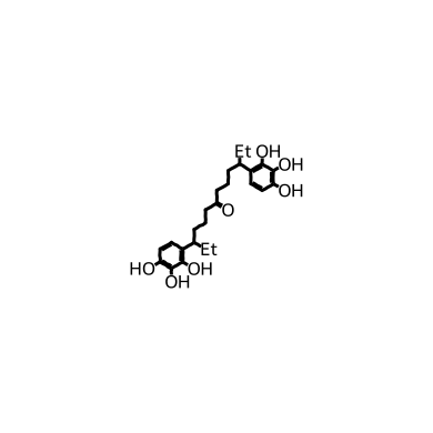 CCC(CCCC(=O)CCCC(CC)c1ccc(O)c(O)c1O)c1ccc(O)c(O)c1O